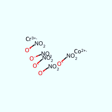 O=[N+]([O-])[O-].O=[N+]([O-])[O-].O=[N+]([O-])[O-].O=[N+]([O-])[O-].O=[N+]([O-])[O-].[Co+2].[Cr+3]